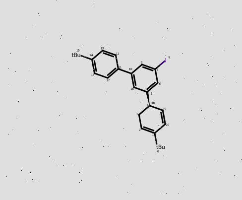 CC(C)(C)C1=CC[C@@H](c2cc(I)cc(-c3ccc(C(C)(C)C)cc3)c2)C=C1